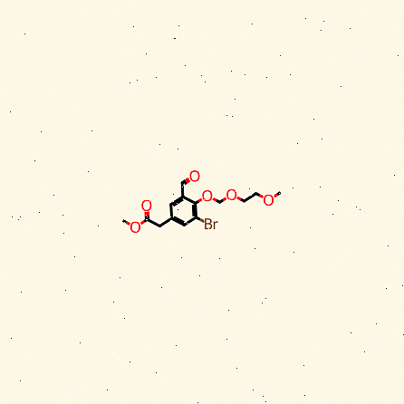 COCCOCOc1c(Br)cc(CC(=O)OC)cc1C=O